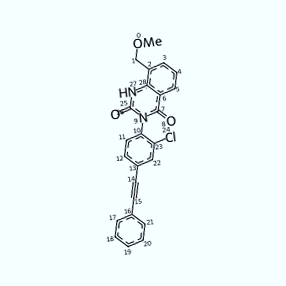 COCc1cccc2c(=O)n(-c3ccc(C#Cc4ccccc4)cc3Cl)c(=O)[nH]c12